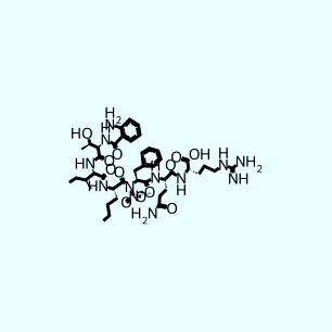 CCCC[C@H](NC(=O)[C@@H](NC(=O)[C@@H](NC(=O)c1ccccc1N)[C@@H](C)O)[C@@H](C)CC)C(=O)N([C@@H](Cc1ccccc1)C(=O)N[C@@H](CCC(N)=O)C(=O)N[C@@H](CCCNC(=N)N)C(=O)O)[N+](=O)[O-]